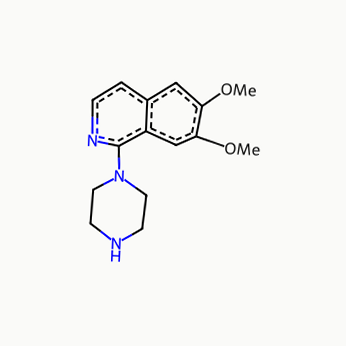 COc1cc2ccnc(N3CCNCC3)c2cc1OC